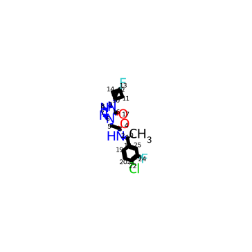 C[C@H](NC(=O)Cn1nnn(C23CC(F)(C2)C3)c1=O)c1ccc(Cl)c(F)c1